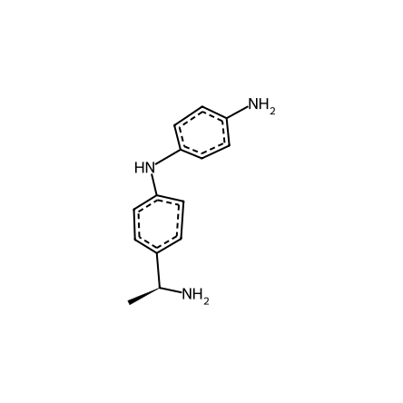 C[C@H](N)c1ccc(Nc2ccc(N)cc2)cc1